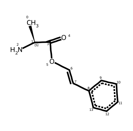 C[C@H](N)C(=O)OC=Cc1ccccc1